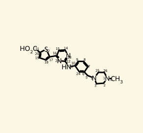 CN1CCN(Cc2cccc(Nc3nccc(-c4ccc(C(=O)O)s4)n3)c2)CC1